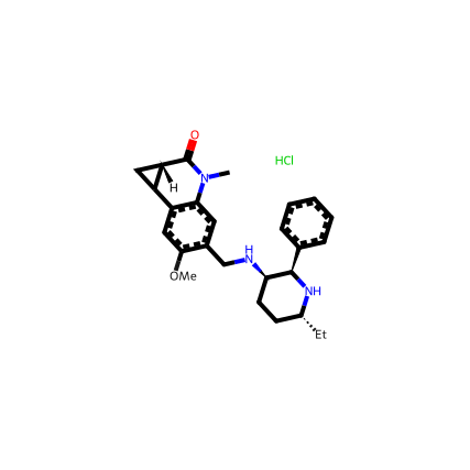 CC[C@@H]1CC[C@@H](NCc2cc3c(cc2OC)C2C[C@@H]2C(=O)N3C)[C@@H](c2ccccc2)N1.Cl